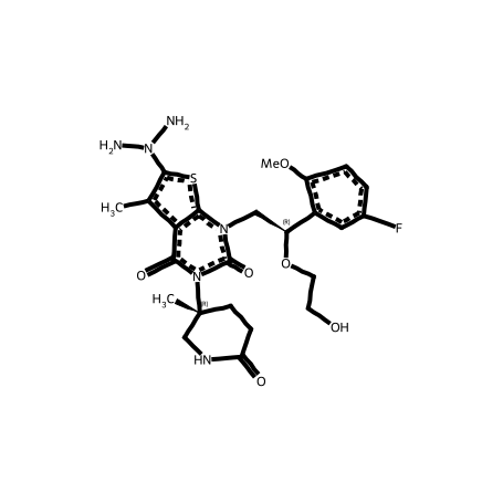 COc1ccc(F)cc1[C@H](Cn1c(=O)n([C@]2(C)CCC(=O)NC2)c(=O)c2c(C)c(N(N)N)sc21)OCCO